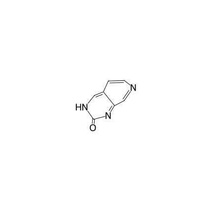 O=c1nc2cnccc2c[nH]1